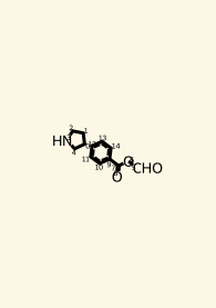 C1CCNC1.O=COC(=O)c1ccccc1